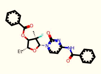 CC[C@H]1O[C@@H](n2ccc(NC(=O)c3ccccc3)nc2=O)[C@](C)(F)C1OC(=O)c1ccccc1